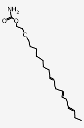 CCC=CCC=CCC=CCCCCCCCCCCOC(N)=O